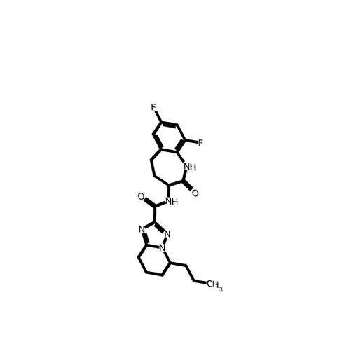 CCCC1CCCc2nc(C(=O)NC3CCc4cc(F)cc(F)c4NC3=O)nn21